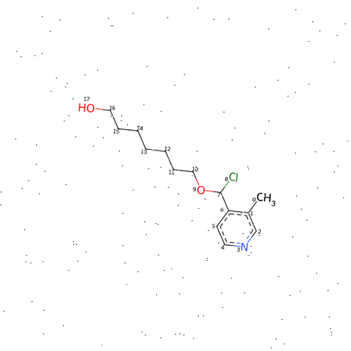 Cc1cnccc1C(Cl)OCCCCCCCO